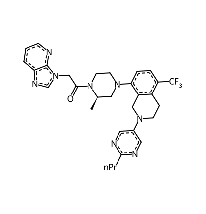 CCCc1ncc(N2CCc3c(C(F)(F)F)ccc(N4CCN(C(=O)Cn5cnc6cccnc65)[C@H](C)C4)c3C2)cn1